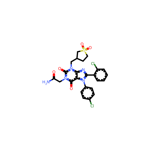 NC(=O)Cn1c(=O)c2c(nc(-c3ccccc3Cl)n2-c2ccc(Cl)cc2)n(CC2CCS(=O)(=O)C2)c1=O